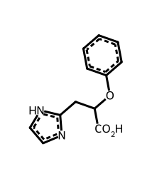 O=C(O)C(Cc1ncc[nH]1)Oc1ccccc1